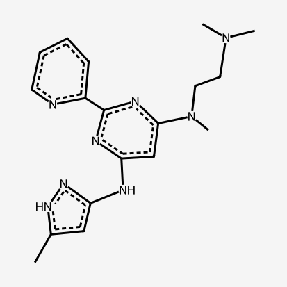 Cc1cc(Nc2cc(N(C)CCN(C)C)nc(-c3ccccn3)n2)n[nH]1